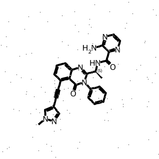 C[C@H](NC(=O)c1nccnc1N)c1nc2cccc(C#Cc3cnn(C)c3)c2c(=O)n1-c1ccccc1